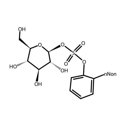 CCCCCCCCCc1ccccc1OS(=O)(=O)O[C@@H]1O[C@H](CO)[C@@H](O)[C@H](O)[C@H]1O